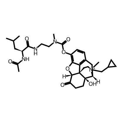 CC(=O)N[C@@H](CC(C)C)C(=O)NCCN(C)C(=O)Oc1ccc2c3c1O[C@H]1C(=O)CC[C@@]4(O)[C@@H](C2)[N+](C)(CC2CC2)CC[C@]314